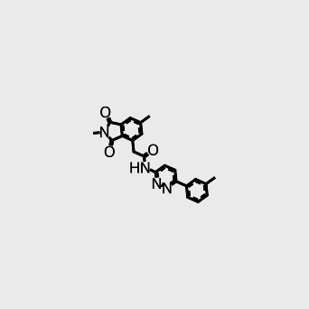 Cc1cccc(-c2ccc(NC(=O)Cc3cc(C)cc4c3C(=O)N(C)C4=O)nn2)c1